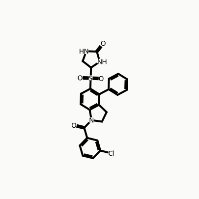 O=C1NCC(S(=O)(=O)c2ccc3c(c2-c2ccccc2)CCN3C(=O)c2cccc(Cl)c2)N1